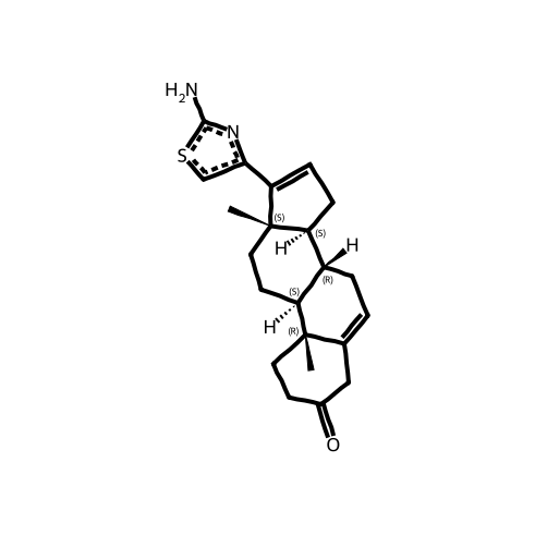 C[C@]12CCC(=O)CC1=CC[C@@H]1[C@@H]2CC[C@]2(C)C(c3csc(N)n3)=CC[C@@H]12